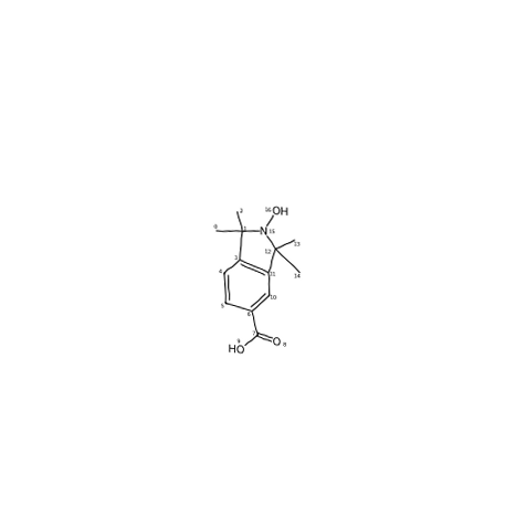 CC1(C)c2ccc(C(=O)O)cc2C(C)(C)N1O